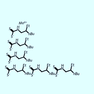 CCCCC(CC)CNC(=S)[S-].CCCCC(CC)CNC(=S)[S-].CCCCC(CC)CNC(=S)[S-].CCCCC(CC)CNC(=S)[S-].CCCCC(CC)CNC(=S)[S-].CCCCC(CC)CNC(=S)[S-].[Mo+6]